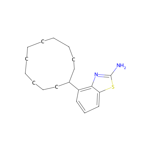 Nc1nc2c(C3CCCCCCCCCCC3)cccc2s1